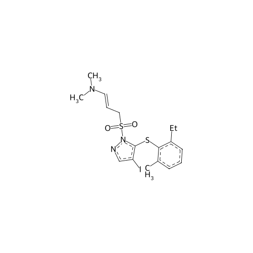 CCc1cccc(C)c1Sc1c(I)cnn1S(=O)(=O)CC=CN(C)C